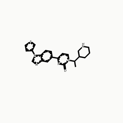 CC(C1CCCNC1)n1ccc(-c2ccc3c(c2)ncn3-c2ccsc2)nc1=O